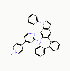 CN1C=CC(c2ccnc(N3c4ccccc4-c4ccccc4-c4cc5ccn(-c6ccccc6)c5cc43)c2)=CC1